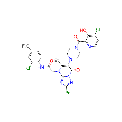 CCc1c(N2CCN(C(=O)c3nccc(Cl)c3O)CC2)c(=O)n2nc(Br)nc2n1CC(=O)Nc1ccc(C(F)(F)F)cc1Cl